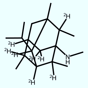 [2H]C1([2H])C2([2H])CC3(C)C([2H])(C)C1(NC)C([2H])(C)C([2H])(C2([2H])C)C3([2H])C(C)C